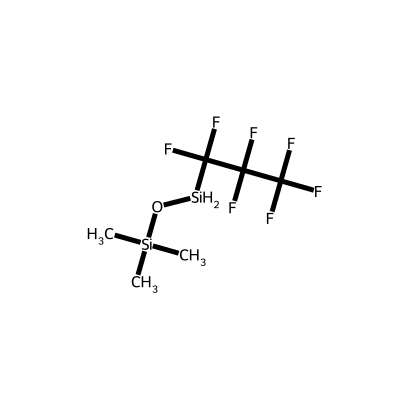 C[Si](C)(C)O[SiH2]C(F)(F)C(F)(F)C(F)(F)F